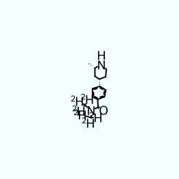 [2H]C([2H])([2H])N(C(=O)c1ccc([C@H]2CCN[C@@H](C)C2)cc1)C([2H])([2H])[2H]